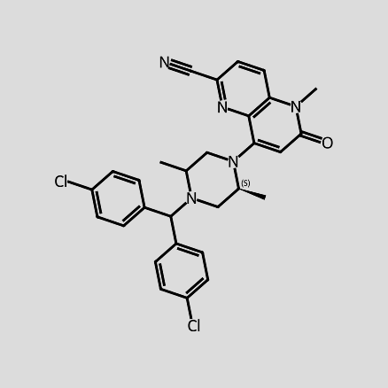 CC1CN(c2cc(=O)n(C)c3ccc(C#N)nc23)[C@@H](C)CN1C(c1ccc(Cl)cc1)c1ccc(Cl)cc1